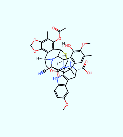 COc1ccc2[nH]c3c(c2c1)C[C@@H](C(=O)O)N[C@]31CS[C@@H]2c3c(OC(C)=O)c(C)c4c(c3[C@H](COC1=O)N1[C@@H]2[C@H]2c3c(cc(C)c(OC)c3O)C3(C)CC1(C#N)CN23)OCO4